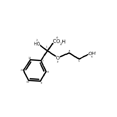 O=C(O)C(O)(OCCO)c1ccccc1